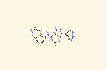 c1cc(Nc2nccn3c(-c4cn[nH]c4)cnc23)c2ccncc2c1